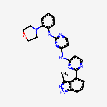 Cc1n[nH]c2cccc(-c3nccc(Nc4ccnc(Nc5ccccc5N5CCOCC5)n4)n3)c12